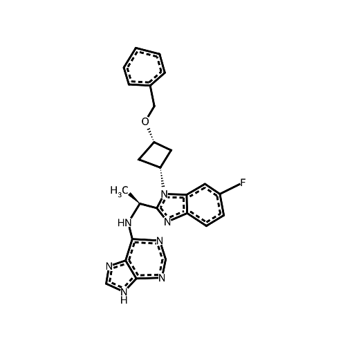 C[C@H](Nc1ncnc2[nH]cnc12)c1nc2ccc(F)cc2n1[C@H]1C[C@@H](OCc2ccccc2)C1